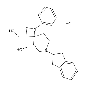 Cl.OCC1(CO)CN(c2ccccc2)C12CCN(C1Cc3ccccc3C1)CC2